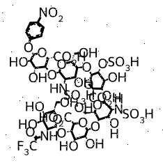 O=C(O)[C@H]1O[C@@H](Oc2ccc([N+](=O)[O-])cc2)[C@H](O)[C@@H](O)[C@@H]1O[C@H]1O[C@H](CO)[C@@H](O[C@@H]2O[C@@H](C(=O)O)[C@@H](O[C@H]3O[C@H](CO)[C@@H](O[C@@H]4O[C@H](C(=O)O)[C@@H](O[C@H]5O[C@H](CO)[C@@H](O)[C@H](O)[C@H]5NC(=O)C(F)(F)F)[C@H](O)[C@H]4O)[C@H](O)[C@H]3NS(=O)(=O)O)[C@H](O)[C@H]2OS(=O)(=O)O)[C@H](O)[C@H]1NS(=O)(=O)O